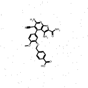 COc1ccc(-c2c(C#N)c(N)nc3sc(C(N)=O)c(N)c23)cc1OCc1ccc(C(=O)O)cc1